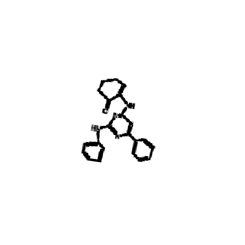 O=C1CCCC=C1Nc1nc(Nc2ccccc2)nc(-c2ccccc2)n1